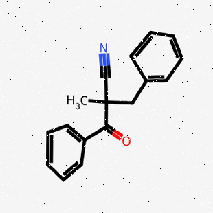 CC(C#N)(Cc1ccccc1)C(=O)c1ccccc1